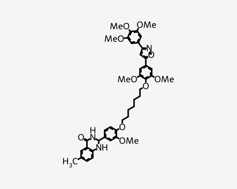 COc1cc(C2NC(=O)c3cc(C)ccc3N2)ccc1OCCCCCCCOc1c(OC)cc(-c2cc(-c3cc(OC)c(OC)c(OC)c3)no2)cc1OC